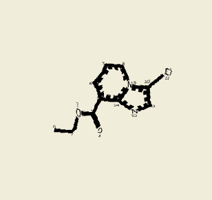 CCOC(=O)c1cccn2c(Cl)cnc12